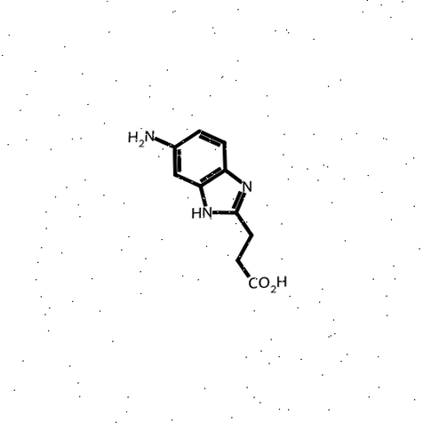 Nc1ccc2nc(CCC(=O)O)[nH]c2c1